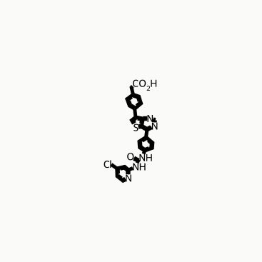 O=C(O)Cc1ccc(-c2csc3c(-c4ccc(NC(=O)Nc5cc(Cl)ccn5)cc4)ncnc23)cc1